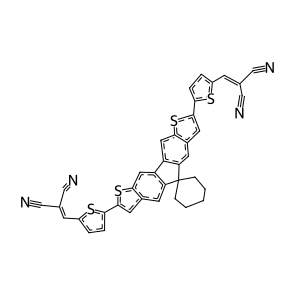 N#CC(C#N)=Cc1ccc(-c2cc3cc4c(cc3s2)-c2cc3sc(-c5ccc(C=C(C#N)C#N)s5)cc3cc2C42CCCCC2)s1